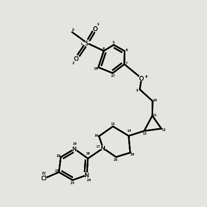 CS(=O)(=O)c1ccc(OCCC2CC2C2CCN(c3ncc(Cl)cn3)CC2)cc1